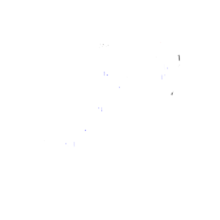 COc1cc(C(=O)N2C[C@H]3CC[C@@H]2[C@@H]3N)cc2nc(-c3cc4ccc(Nc5cccc(O)c5)nc4n3CC3CC3)n(C)c12